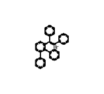 BrC(=C(c1ccccc1)c1cccc(-c2ccccc2)c1-c1ccccc1)c1ccccc1